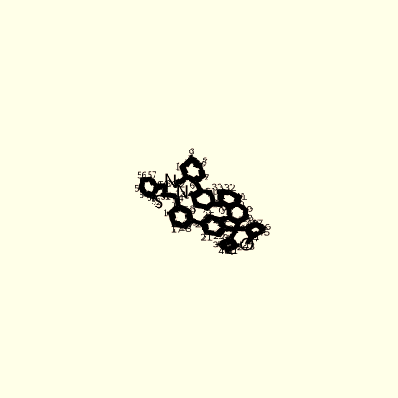 CC1C=CC=C(c2ccccc2-c2nc(-c3cccc(-c4ccc5c(c4)C4=C(CCc6ccccc64)C54c5ccccc5Oc5ccccc54)c3)c3sc4ccccc4c3n2)C1